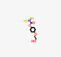 O=C(Oc1ccc(OCCO)cc1)N(S)S